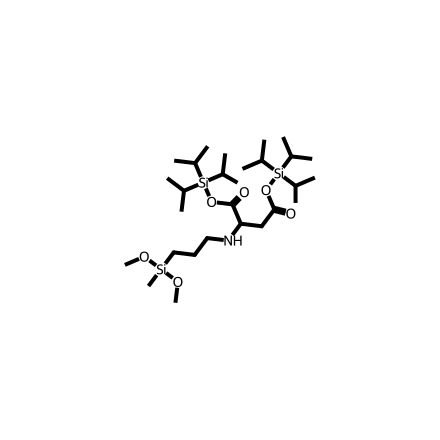 CO[Si](C)(CCCNC(CC(=O)O[Si](C(C)C)(C(C)C)C(C)C)C(=O)O[Si](C(C)C)(C(C)C)C(C)C)OC